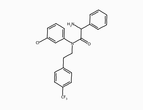 NC(C(=O)N(CCc1ccc(C(F)(F)F)cc1)c1cccc(Cl)c1)c1ccccc1